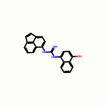 N=C(Nc1ccc(O)c2ccccc12)Nc1ccc2c3c(cccc13)C=C2